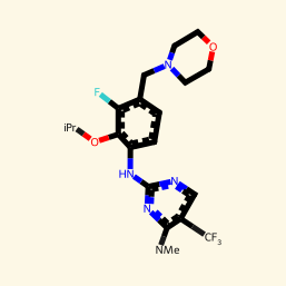 CNc1nc(Nc2ccc(CN3CCOCC3)c(F)c2OC(C)C)ncc1C(F)(F)F